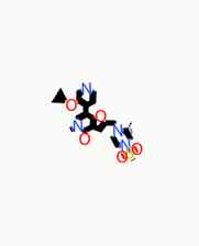 C[C@@H]1CN(S(C)(=O)=O)CCN1Cc1cc2c(=O)n(C)cc(-c3ccncc3OC3CC3)c2o1